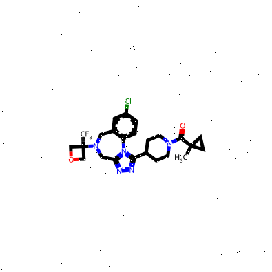 CC1(C(=O)N2CCC(c3nnc4n3-c3ccc(Cl)cc3CN(C3(C(F)(F)F)COC3)C4)CC2)CC1